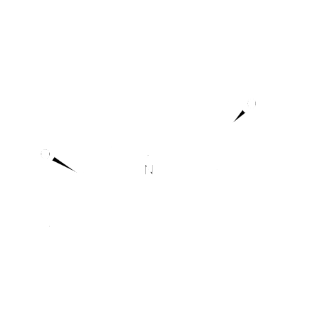 CO[C@H]1CN([C@H]2C[C@H](OC)C2)CC[C@@H]1C